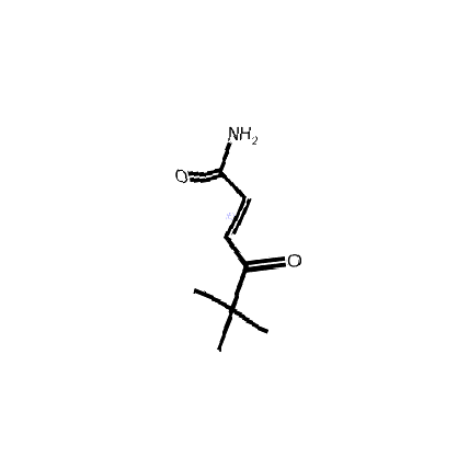 CC(C)(C)C(=O)/C=C/C(N)=O